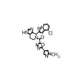 Cn1cc(-c2nnc(C(=O)N3CCc4[nH]cnc4C3c3cc4c(Cl)cccn4n3)o2)cn1